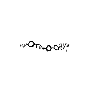 COC1(C(F)(F)F)CCN(c2ccc(NCC3CCC(N)CC3)cc2)CC1